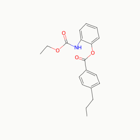 CCCc1ccc(C(=O)Oc2ccccc2NC(=O)OCC)cc1